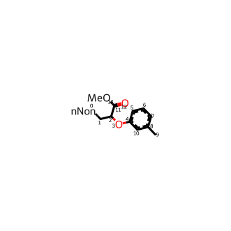 CCCCCCCCCCC(Oc1cc[c]c(C)c1)C(=O)OC